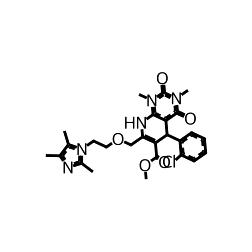 COC(=O)C1=C(COCCn2c(C)nc(C)c2C)Nc2c(c(=O)n(C)c(=O)n2C)C1c1ccccc1Cl